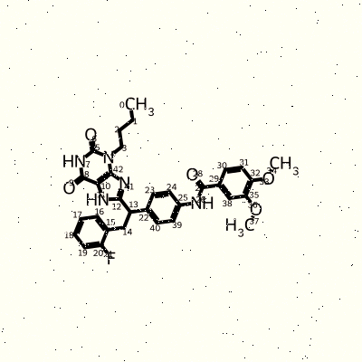 CCCCn1c(=O)[nH]c(=O)c2[nH]c(C(Cc3ccccc3F)c3ccc(NC(=O)c4ccc(OC)c(OC)c4)cc3)nc21